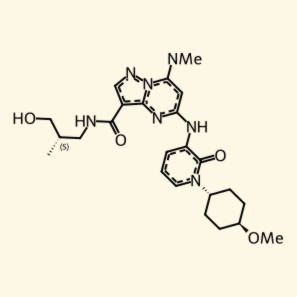 CNc1cc(Nc2cccn([C@H]3CC[C@H](OC)CC3)c2=O)nc2c(C(=O)NC[C@H](C)CO)cnn12